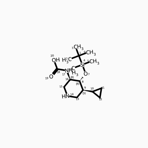 CC(C)(C)[Si](C)(C)O[C@@H]1[C@@H](C2CC2)CNC[C@H]1NC(=O)O